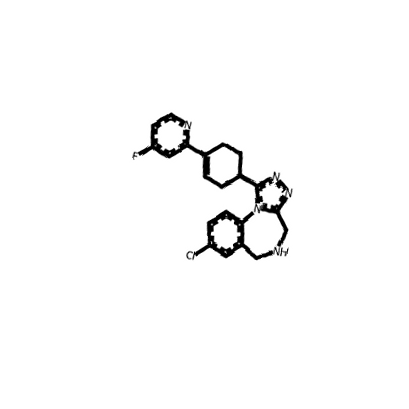 Fc1ccnc(C2=CCC(c3nnc4n3-c3ccc(Cl)cc3CNC4)CC2)c1